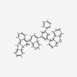 c1ccc(-c2nc(-c3ccc(C4=c5ccccc5=C5Sc6ccccc6C5N4)c4ccccc34)cc(-c3cccc4oc5ccccc5c34)n2)cc1